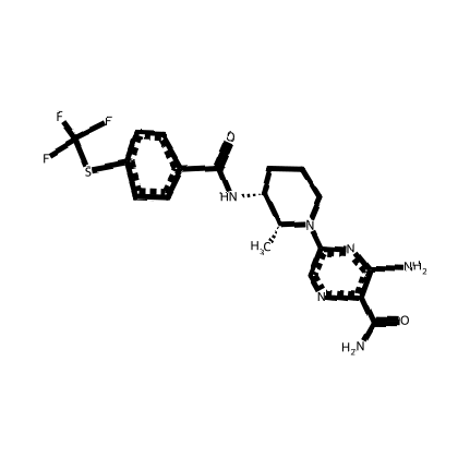 C[C@@H]1[C@H](NC(=O)c2ccc(SC(F)(F)F)cc2)CCCN1c1cnc(C(N)=O)c(N)n1